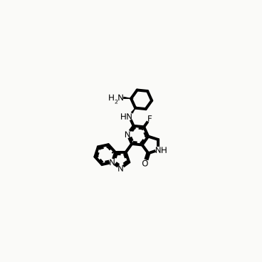 N[C@H]1CCCC[C@H]1Nc1nc(-c2cnn3ccccc23)c2c(c1F)CNC2=O